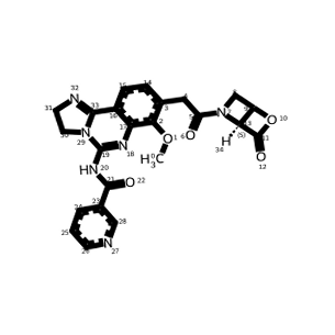 COc1c(CC(=O)N2CC3OC(=O)[C@H]32)ccc2c1N=C(NC(=O)c1cccnc1)N1CCN=C21